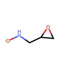 [O]NCC1CO1